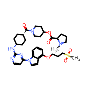 CN1CCCC1C(=O)OC1CCN(C(=O)[C@H]2CC[C@H](Nc3nccc(-n4ccc5c(OCCCS(C)(=O)=O)cccc54)n3)CC2)CC1